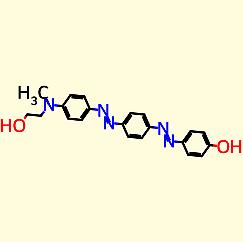 CN(CCO)c1ccc(N=Nc2ccc(N=Nc3ccc(O)cc3)cc2)cc1